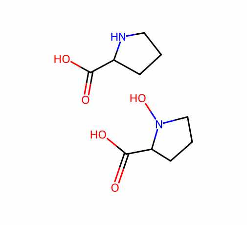 O=C(O)C1CCCN1.O=C(O)C1CCCN1O